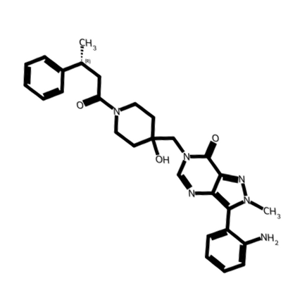 C[C@H](CC(=O)N1CCC(O)(Cn2cnc3c(-c4ccccc4N)n(C)nc3c2=O)CC1)c1ccccc1